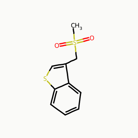 CS(=O)(=O)Cc1csc2ccccc12